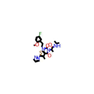 COc1ccc(F)cc1CCn1c(=O)n(C(C)C(=O)NC(C)C)c(=O)c2c(C)c(-n3cccn3)sc21